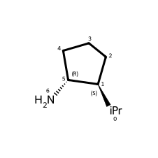 CC(C)[C@@H]1CCC[C@H]1N